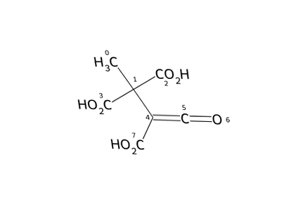 CC(C(=O)O)(C(=O)O)C(=C=O)C(=O)O